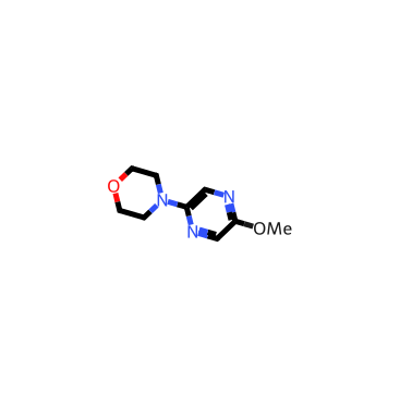 COc1cnc(N2CCOCC2)cn1